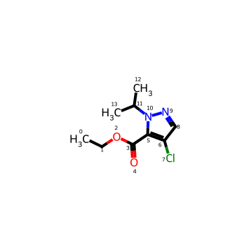 CCOC(=O)c1c(Cl)cnn1C(C)C